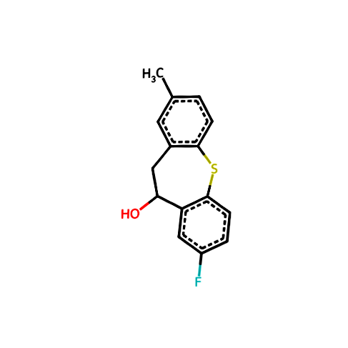 Cc1ccc2c(c1)CC(O)c1cc(F)ccc1S2